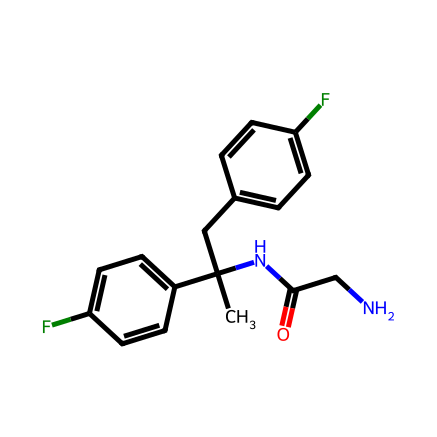 CC(Cc1ccc(F)cc1)(NC(=O)CN)c1ccc(F)cc1